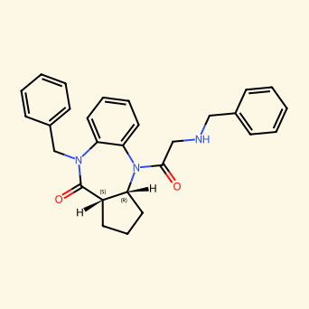 O=C1[C@H]2CCC[C@H]2N(C(=O)CNCc2ccccc2)c2ccccc2N1Cc1ccccc1